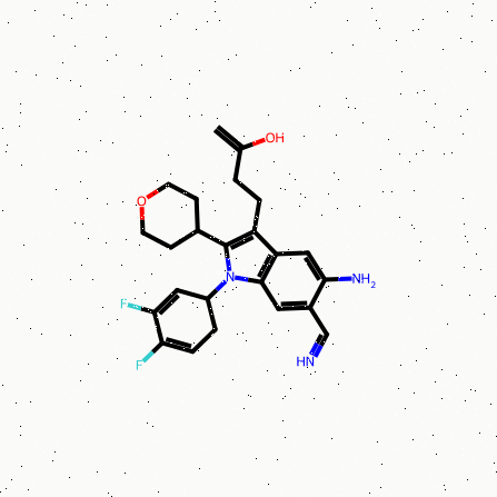 C=C(O)CCc1c(C2CCOCC2)n(C2C=C(F)C(F)=CC2)c2cc(C=N)c(N)cc12